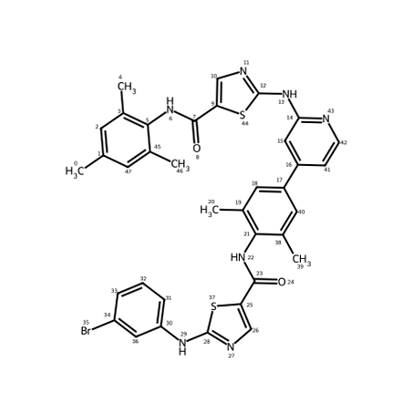 Cc1cc(C)c(NC(=O)c2cnc(Nc3cc(-c4cc(C)c(NC(=O)c5cnc(Nc6cccc(Br)c6)s5)c(C)c4)ccn3)s2)c(C)c1